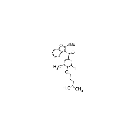 CCCCc1oc2ccccc2c1C(=O)c1cc(C)c(OCCCN(C)C)c(I)c1